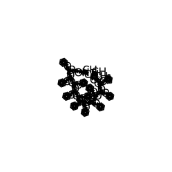 CN(C)CCOCCOC(COc1ccccc1)COC(COc1ccccc1)COC(COc1ccccc1)COC(COc1ccccc1)COC(COc1ccccc1)CN(Cc1ccccc1)CC(COc1ccccc1)OCC(COc1ccccc1)OCC(COc1ccccc1)OCC(COc1ccccc1)OCC(COc1ccccc1)OCCOCCN(C)C